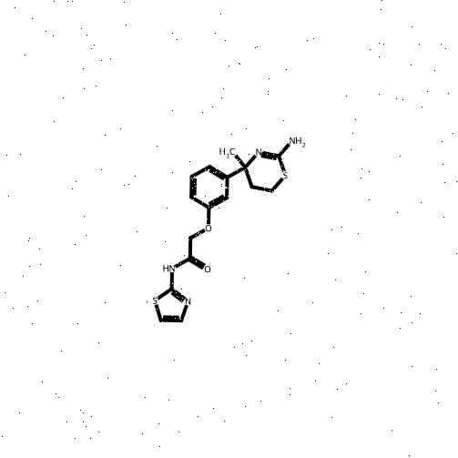 CC1(c2cccc(OCC(=O)Nc3nccs3)c2)CCSC(N)=N1